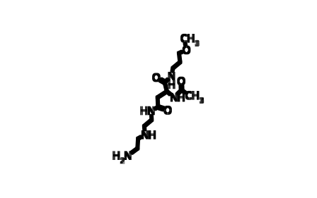 COCCCNC(=O)C(CC(=O)NCCNCCN)NC(C)=O